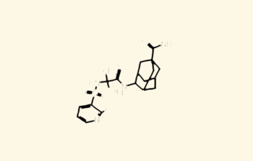 CC(C)(NS(=O)(=O)c1cccnc1Cl)C(=O)NC1C2CC3CC1CC(C(N)=O)(C3)C2